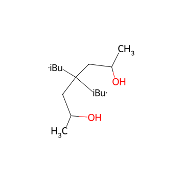 CC[C](C)C(CC(C)O)(CC(C)O)[C](C)CC